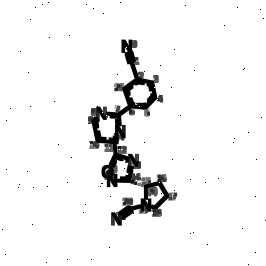 N#Cc1cccc(-c2nccc(-c3nc([C@@H]4CCCN4C#N)no3)n2)c1